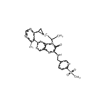 Cc1ncnc(C2CC2)c1-c1ncc2nc(NCc3ccc(S(C)(=O)=O)nc3)c(=O)n(C(C)C)c2n1